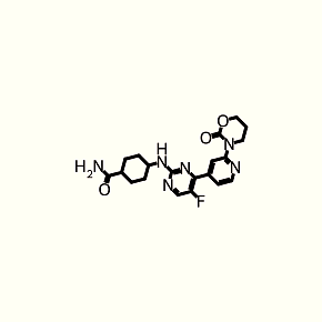 NC(=O)C1CCC(Nc2ncc(F)c(-c3ccnc(N4CCCOC4=O)c3)n2)CC1